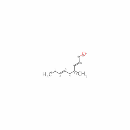 CCC=CCC(C)C=CC[O]